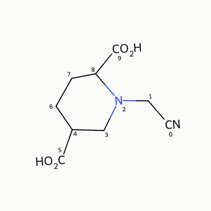 N#CCN1CC(C(=O)O)CCC1C(=O)O